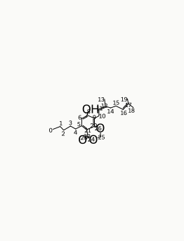 CCCCCc1cc(O)c(CC=C(C)CCC=C(C)C)c2c1C(=O)OCO2